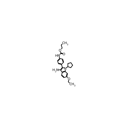 CCCOC(=O)Nc1ccc(-c2c(N)c3ccc(OCC)cc3n2C2CCCC2)cc1